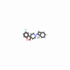 Fc1ccc2c(c1)C1(CCN([C@H]3CC4CCCC[C@H]43)CC1)CO2